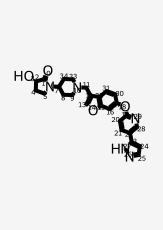 O=C1[C@@H](O)CCN1C1CCN(Cc2coc3cc(Oc4ccc(-c5ccn[nH]5)cn4)ccc23)CC1